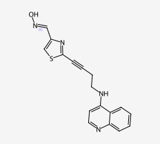 O/N=C/c1csc(C#CCCNc2ccnc3ccccc23)n1